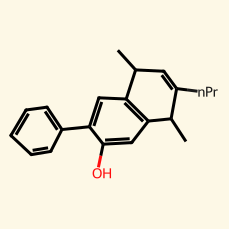 CCCC1=CC(C)c2cc(-c3ccccc3)c(O)cc2C1C